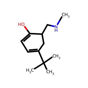 CNCC1CC(C(C)(C)C)=CC=C1O